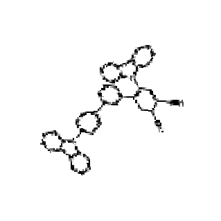 N#CC1=CC(n2c3ccccc3c3ccccc32)=C(c2cccc(-c3ccc(-n4c5ccccc5c5ccccc54)cc3)c2)CC1C#N